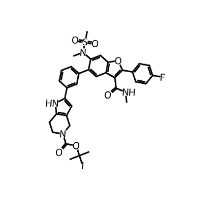 CNC(=O)c1c(-c2ccc(F)cc2)oc2cc(N(C)S(C)(=O)=O)c(-c3cccc(-c4cc5c([nH]4)CCN(C(=O)OC(C)(C)I)C5)c3)cc12